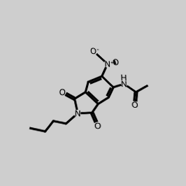 CCCCN1C(=O)c2cc(NC(C)=O)c([N+](=O)[O-])cc2C1=O